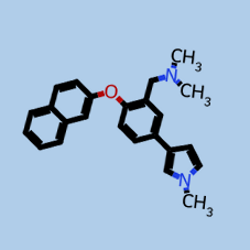 CN(C)Cc1cc(-c2ccn(C)c2)ccc1Oc1ccc2ccccc2c1